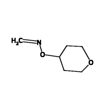 C=NOC1CCOCC1